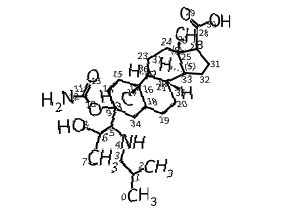 CC(C)CNC(C(C)O)C1(OC(N)=O)CC[C@@]2(C)C(CC[C@@H]3[C@@H]2CC[C@]2(C)C(C(=O)O)CC[C@@H]32)C1